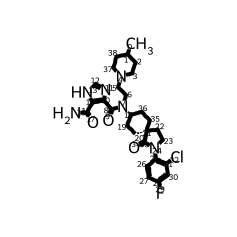 CC1CCN(CCN(C(=O)c2nc[nH]c2C(N)=O)[C@H]2CC[C@@]3(CCN(c4ccc(F)cc4Cl)C3=O)CC2)CC1